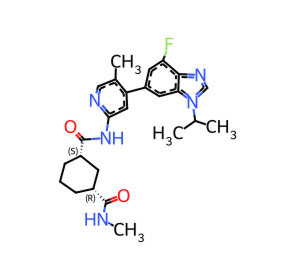 CNC(=O)[C@@H]1CCC[C@H](C(=O)Nc2cc(-c3cc(F)c4ncn(C(C)C)c4c3)c(C)cn2)C1